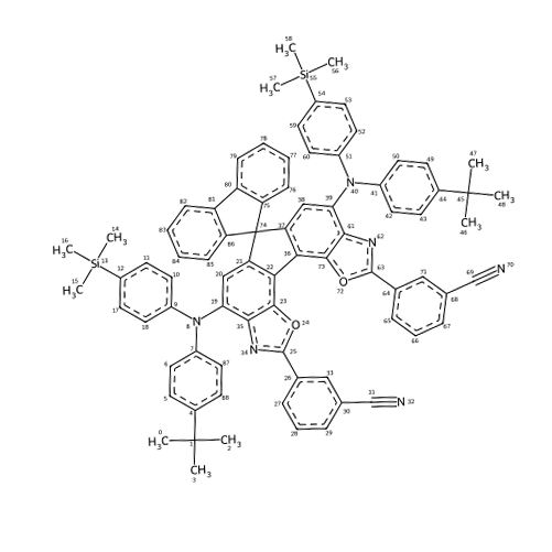 CC(C)(C)c1ccc(N(c2ccc([Si](C)(C)C)cc2)c2cc3c(c4oc(-c5cccc(C#N)c5)nc24)-c2c(cc(N(c4ccc(C(C)(C)C)cc4)c4ccc([Si](C)(C)C)cc4)c4nc(-c5cccc(C#N)c5)oc24)C32c3ccccc3-c3ccccc32)cc1